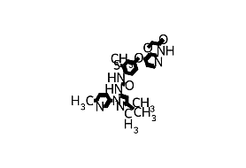 CSc1cc(Oc2ccnc3c2OCC(=O)N3)ccc1NC(=O)Nc1cc(C(C)(C)C)nn1-c1ccc(C)nc1